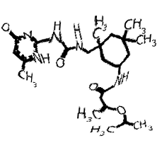 Cc1cc(=O)nc(NC(=O)NCC2(C)CC(NC(=O)C(C)OC(C)C)CC(C)(C)C2)[nH]1